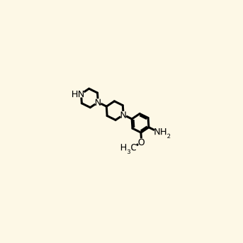 COc1cc(N2CCC(N3CCNCC3)CC2)ccc1N